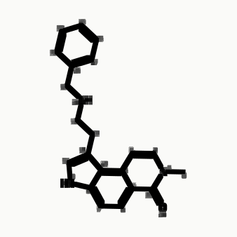 Cn1ccc2c(ccc3[nH]cc(CCNCc4ccccc4)c32)c1=O